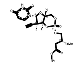 C#C[C@]1(C)[C@@H]2O[P@@](=O)(OC[C@@H](CC(=O)OC(C)C)OC)OC[C@H]2O[C@H]1n1ccc(=O)[nH]c1=O